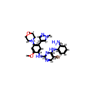 COc1cc(N2CCOCC2)c(-c2cnn(C)c2)cc1Nc1ncc(Br)c(Nc2ccccc2N)n1